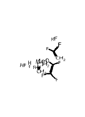 C=C.C=C(F)F.COC(F)=C(F)F.F.F.F.F